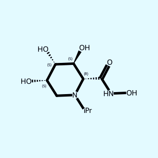 CC(C)N1C[C@H](O)[C@H](O)[C@@H](O)[C@@H]1C(=O)NO